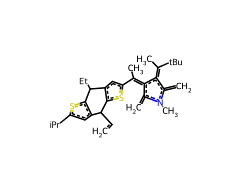 C=CC1c2cc(C(C)C)sc2C(CC)c2cc(/C(C)=c3\c(=C)n(C)c(=C)\c3=C(\C)C(C)(C)C)sc21